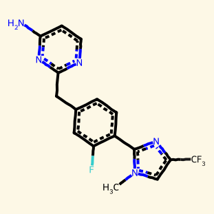 Cn1cc(C(F)(F)F)nc1-c1ccc(Cc2nccc(N)n2)cc1F